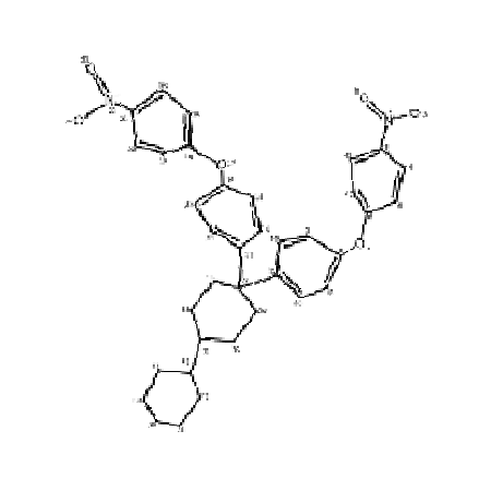 O=[N+]([O-])c1ccc(Oc2ccc(C3(c4ccc(Oc5ccc([N+](=O)[O-])cc5)cc4)CCC(C4CCCCC4)CC3)cc2)cc1